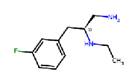 CCN[C@H](CN)Cc1cccc(F)c1